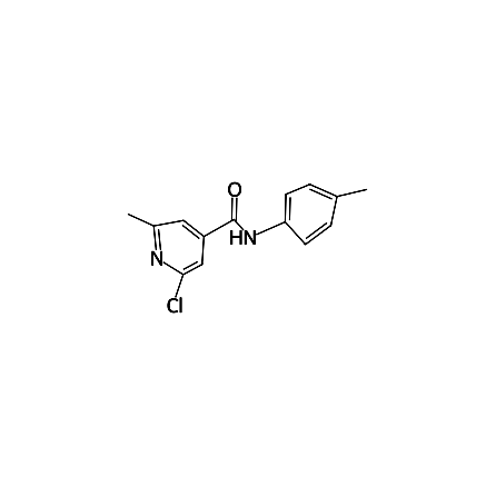 Cc1ccc(NC(=O)c2cc(C)nc(Cl)c2)cc1